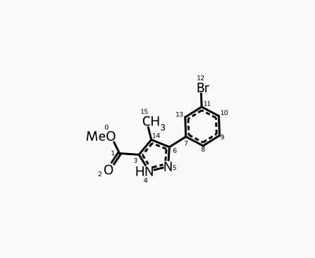 COC(=O)c1[nH]nc(-c2cccc(Br)c2)c1C